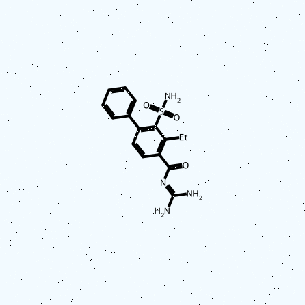 CCc1c(C(=O)N=C(N)N)ccc(-c2ccccc2)c1S(N)(=O)=O